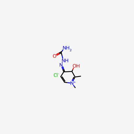 CC1=[N+](C)C=CC(=NNC(N)=O)C1O.[Cl-]